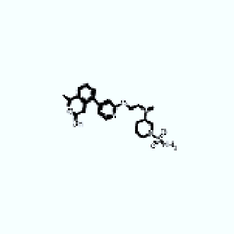 CC(C)c1cccc(-c2ccnc(OCCN(C)C3CCCN(S(N)(=O)=O)C3)c2)c1CC(=O)O